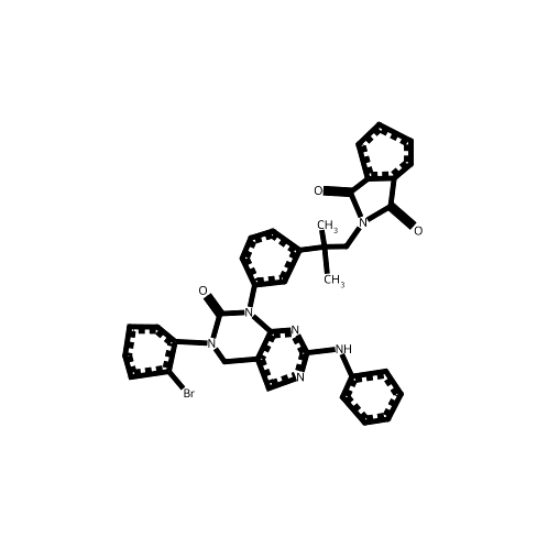 CC(C)(CN1C(=O)c2ccccc2C1=O)c1cccc(N2C(=O)N(c3ccccc3Br)Cc3cnc(Nc4ccccc4)nc32)c1